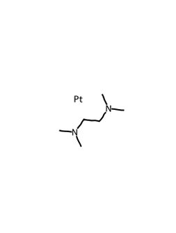 CN(C)CCN(C)C.[Pt]